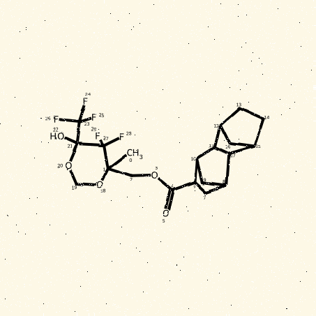 CC1(COC(=O)C2CC3CC2C2C4CCC(C4)C32)OCOC(O)(C(F)(F)F)C1(F)F